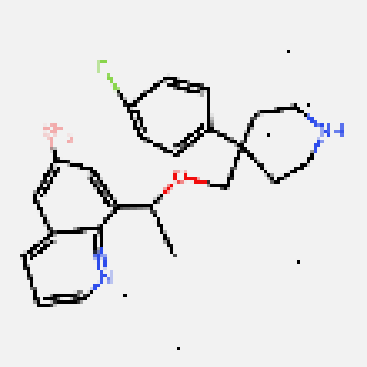 Bc1cc(C(C)OCC2(c3ccc(F)cc3)CCNCC2)c2ncccc2c1